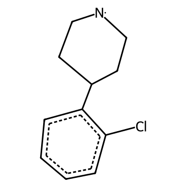 Clc1ccccc1C1CC[N]CC1